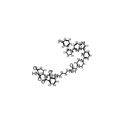 O=C(CN1CCN(c2cccc(-c3cnc4ccc(N5CCC[C@@H]5c5cccc(F)c5)nn34)n2)CC1)NCCCCNc1cccc2c1C(=O)N(C1CCC(=O)NC1=O)C2=O